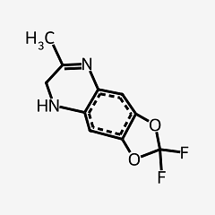 CC1=Nc2cc3c(cc2NC1)OC(F)(F)O3